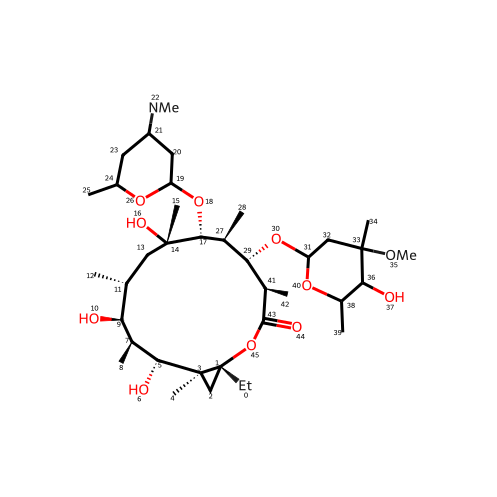 CC[C@@]12C[C@@]1(C)[C@H](O)[C@@H](C)[C@@H](O)[C@H](C)C[C@](C)(O)[C@H](OC1CC(NC)CC(C)O1)[C@@H](C)[C@H](OC1CC(C)(OC)C(O)C(C)O1)[C@@H](C)C(=O)O2